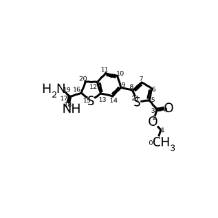 CCOC(=O)c1ccc(-c2ccc3c(c2)SC(C(=N)N)C3)s1